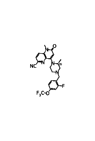 C[C@H]1CN(Cc2ccc(OC(F)(F)F)cc2F)CCN1c1cc(=O)n(C)c2ccc(C#N)nc12